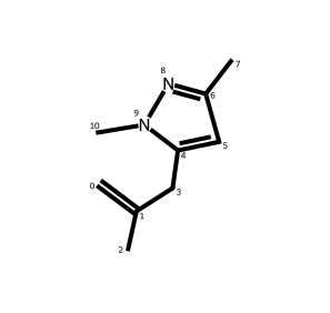 C=C(C)Cc1cc(C)nn1C